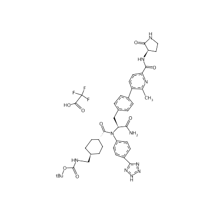 Cc1nc(C(=O)N[C@@H]2CCNC2=O)ccc1-c1ccc(C[C@@H](C(N)=O)N(c2ccc(-c3nn[nH]n3)cc2)C(=O)[C@H]2CC[C@H](CNC(=O)OC(C)(C)C)CC2)cc1.O=C(O)C(F)(F)F